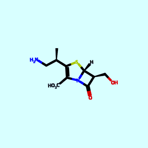 C[C@H](CN)C1=C(C(=O)O)N2C(=O)[C@H](CO)[C@H]2S1